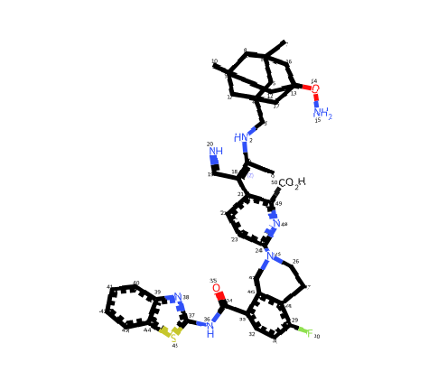 C/C(NCC12CC3(C)CC(C)(C1)CC(ON)(C3)C2)=C(/C=N)c1ccc(N2CCc3c(F)ccc(C(=O)Nc4nc5ccccc5s4)c3C2)nc1C(=O)O